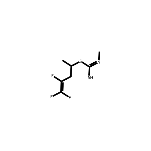 CN=C(S)SC(C)CC(F)=C(F)F